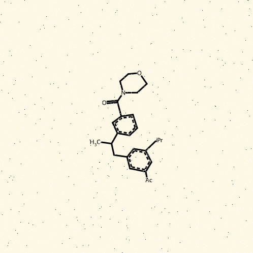 CC(=O)c1cc(CC(C)c2cccc(C(=O)N3CCOCC3)c2)cc(C(C)C)c1